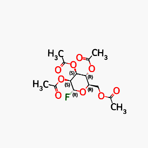 CC(=O)OC[C@H]1O[C@H](F)[C@@H](OC(C)=O)[C@@H](OC(C)=O)[C@@H]1OC(C)=O